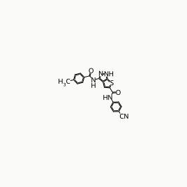 Cc1ccc(C(=O)Nc2n[nH]c3sc(C(=O)Nc4ccc(C#N)cc4)cc23)cc1